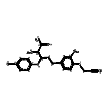 C#CCOc1ccc(CCC(Sc2ccc(Cl)cc2)C(OC)C(N)=O)cc1OC